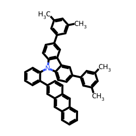 Cc1cc(C)cc(-c2ccc3c(c2)c2cc(-c4cc(C)cc(C)c4)ccc2n3-c2ccccc2-c2ccc3cc4ccccc4cc3c2)c1